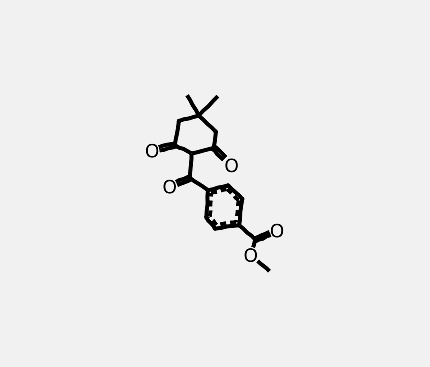 COC(=O)c1ccc(C(=O)C2C(=O)CC(C)(C)CC2=O)cc1